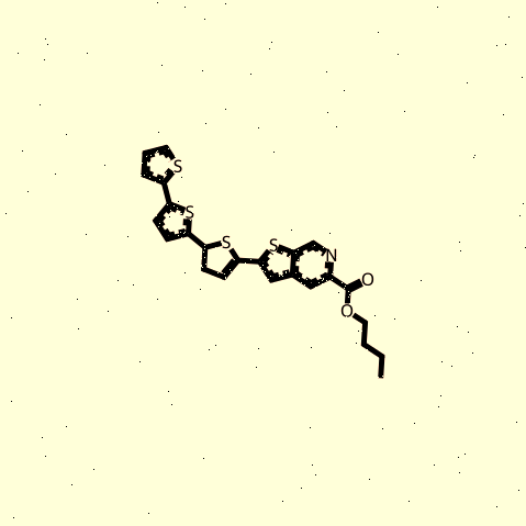 CCCCOC(=O)c1cc2cc(C3=CCC(c4ccc(-c5cccs5)s4)S3)sc2cn1